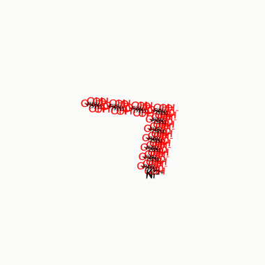 O=C[C@H](O)[C@@H](O)[C@@H](O)[C@H](O)C(=O)[O-].O=C[C@H](O)[C@@H](O)[C@@H](O)[C@H](O)C(=O)[O-].O=C[C@H](O)[C@@H](O)[C@@H](O)[C@H](O)C(=O)[O-].O=C[C@H](O)[C@@H](O)[C@@H](O)[C@H](O)C(=O)[O-].O=C[C@H](O)[C@@H](O)[C@@H](O)[C@H](O)C(=O)[O-].O=C[C@H](O)[C@@H](O)[C@@H](O)[C@H](O)C(=O)[O-].O=C[C@H](O)[C@@H](O)[C@@H](O)[C@H](O)C(=O)[O-].O=C[C@H](O)[C@@H](O)[C@@H](O)[C@H](O)C(=O)[O-].O=C[C@H](O)[C@@H](O)[C@@H](O)[C@H](O)C(=O)[O-].O=C[C@H](O)[C@@H](O)[C@@H](O)[C@H](O)C(=O)[O-].[K+].[Ni+2]